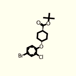 CC(C)(C)OC(=O)[C@H]1CC[C@H](Oc2ccc(Br)cc2Cl)CC1